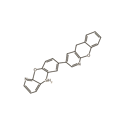 c1ccc2c(c1)Cc1cc(-c3ccc4c(c3)[SiH2]c3cccnc3O4)cnc1O2